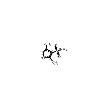 CNS(=O)(=O)c1c(C)noc1C